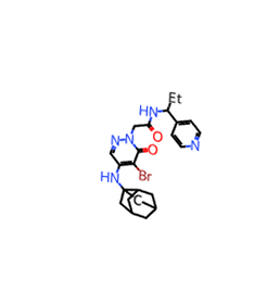 CCC(NC(=O)Cn1ncc(NC23CC4CC(CC2C4)C3)c(Br)c1=O)c1ccncc1